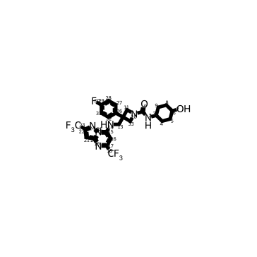 O=C(NC1CCC(O)CC1)N1CC(CNc2cc(C(F)(F)F)nc3cc(C(F)(F)F)nn23)(c2ccc(F)cc2)C1